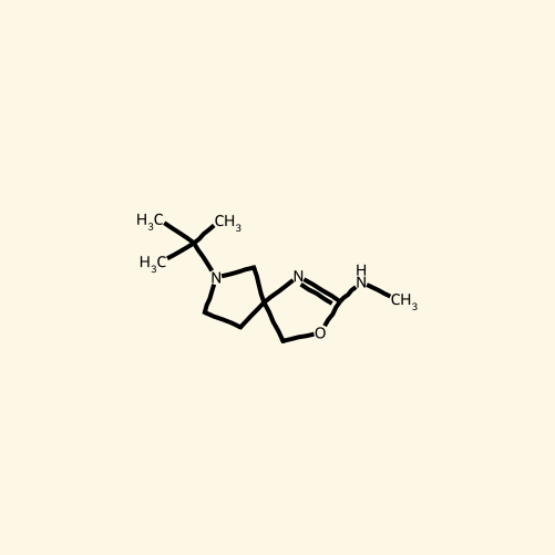 CNC1=NC2(CCN(C(C)(C)C)C2)CO1